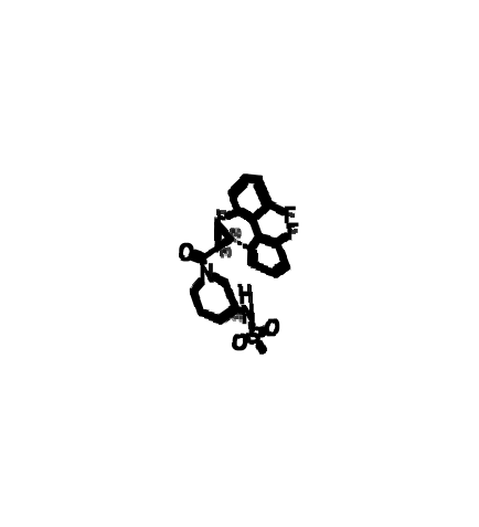 CS(=O)(=O)N[C@H]1CCCN(C(=O)[C@H]2C[C@@H]2c2cccc(F)c2-c2c(F)cccc2F)C1